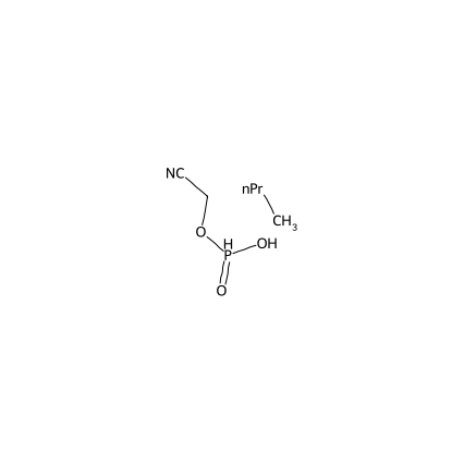 CCCC.N#CCO[PH](=O)O